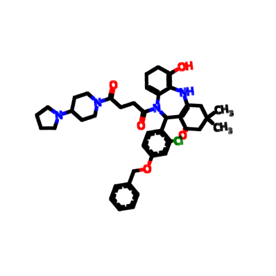 CC1(C)CC(=O)C2=C(C1)NC1=C(O)CCC=C1N(C(=O)CCC(=O)N1CCC(N3CCCC3)CC1)C2c1ccc(OCc2ccccc2)cc1Cl